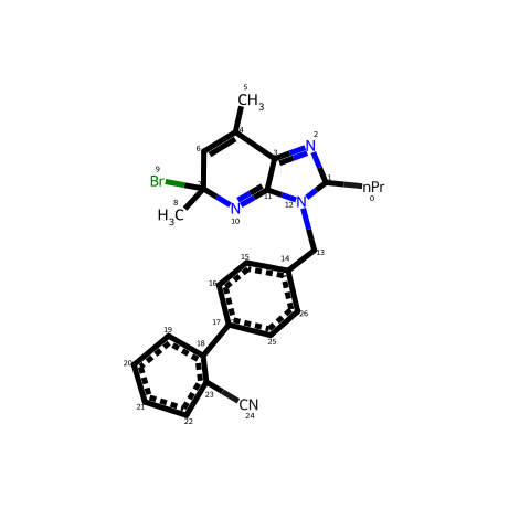 CCCC1N=C2C(C)=CC(C)(Br)N=C2N1Cc1ccc(-c2ccccc2C#N)cc1